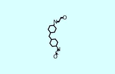 O=C=NC1CCC(CC2CCC(N=CC=O)CC2)CC1